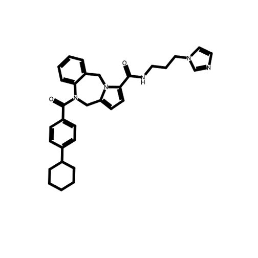 O=C(NCCCn1ccnc1)c1ccc2n1Cc1ccccc1N(C(=O)c1ccc(C3CCCCC3)cc1)C2